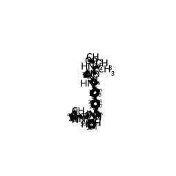 COC(=O)NC(C(=O)N1CCC[C@H]1c1ncc(-c2ccc(-c3ccc(-c4cnc([C@@H]5[C@H]6CC[C@H](C6)[C@H]5C(=O)NCc5nccn5C)[nH]4)cc3)cc2)[nH]1)C(C)C